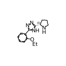 CCOc1ccccc1-c1nnc([C@@H]2CCCN2)[nH]1